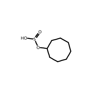 O=S(O)OC1CCCCCCC1